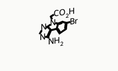 Nc1ncnc2c1c1ccc(Br)cc1n2CC(=O)O